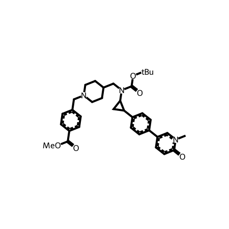 COC(=O)c1ccc(CN2CCC(CN(C(=O)OC(C)(C)C)C3CC3c3ccc(-c4ccc(=O)n(C)c4)cc3)CC2)cc1